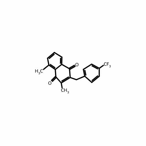 CC1=C(Cc2ccc(C(F)(F)F)cc2)C(=O)c2cccc(C)c2C1=O